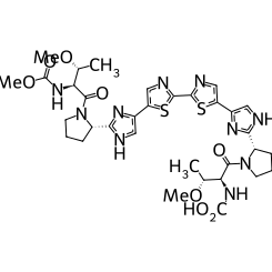 COC(=O)N[C@H](C(=O)N1CCC[C@H]1c1nc(-c2cnc(-c3ncc(-c4c[nH]c([C@@H]5CCCN5C(=O)[C@@H](NC(=O)O)[C@@H](C)OC)n4)s3)s2)c[nH]1)[C@@H](C)OC